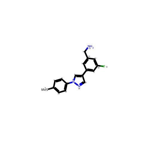 CSc1ccc(-n2cc(-c3cc(F)cc(CN)c3)cn2)cc1